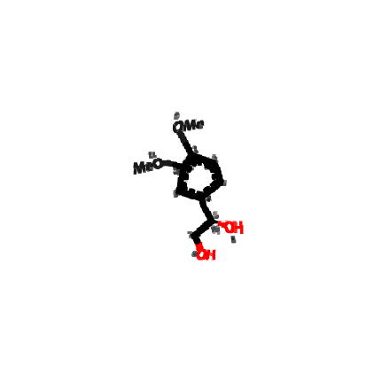 COc1ccc([C@H](O)CO)cc1OC